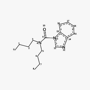 CCCCN(CCCC)C(=O)n1cnc2ccccc21